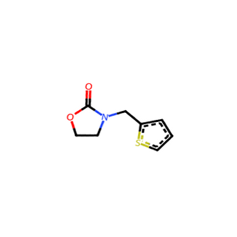 O=C1OCCN1Cc1cccs1